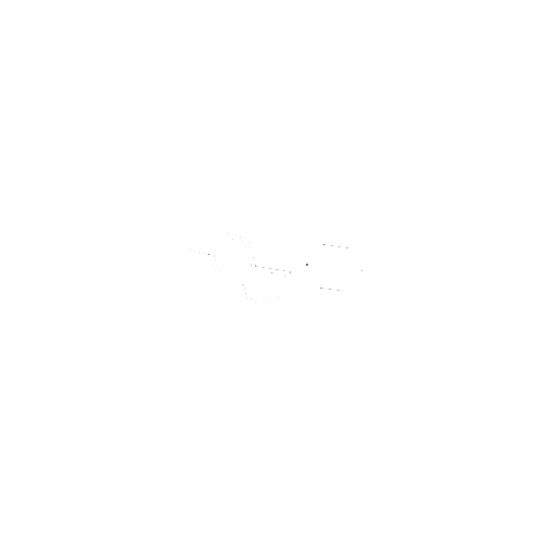 COc1ccc2c(C3(O)CCCCC3)csc2c1